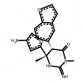 Bc1csc([C@@]2(C)NC(=N)N(C)C(=O)[C@H]2c2ccc3occc3c2)c1